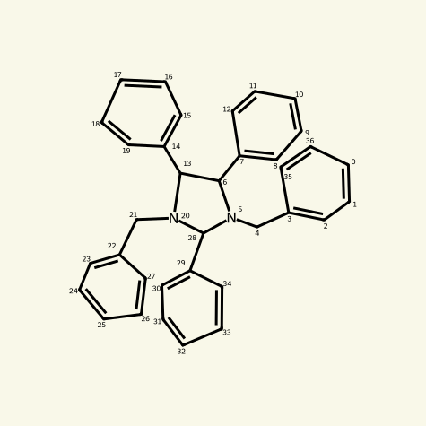 c1ccc(CN2C(c3ccccc3)C(c3ccccc3)N(Cc3ccccc3)C2c2ccccc2)cc1